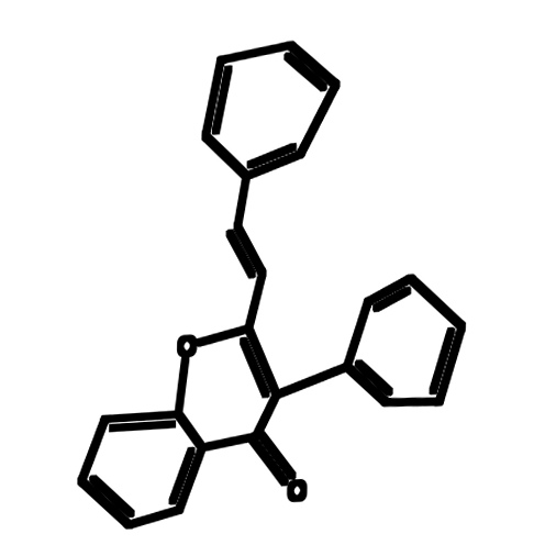 O=c1c(-c2ccccc2)c(C=Cc2ccccc2)oc2ccccc12